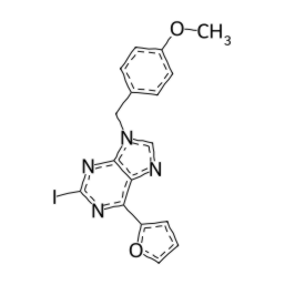 COc1ccc(Cn2cnc3c(-c4ccco4)nc(I)nc32)cc1